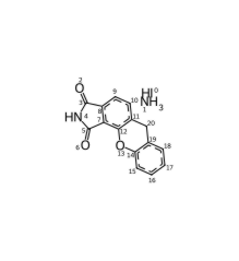 I.N.O=C1NC(=O)c2c1ccc1c2Oc2ccccc2C1